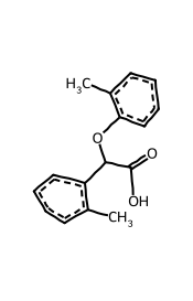 Cc1ccccc1OC(C(=O)O)c1ccccc1C